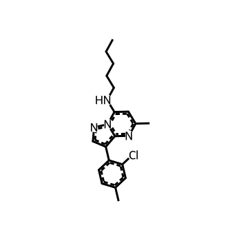 CCCCCNc1cc(C)nc2c(-c3ccc(C)cc3Cl)cnn12